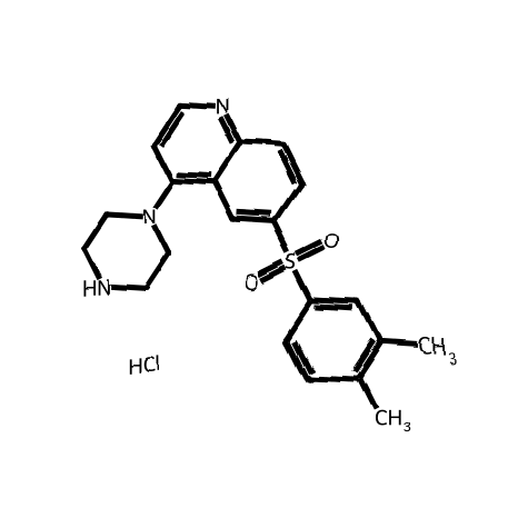 Cc1ccc(S(=O)(=O)c2ccc3nccc(N4CCNCC4)c3c2)cc1C.Cl